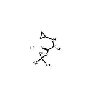 C[C@@H](NC1CC1)C(=O)OC(C)(C)C.Cl